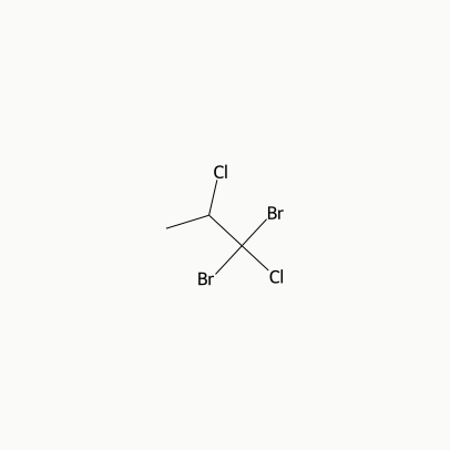 CC(Cl)C(Cl)(Br)Br